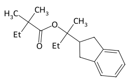 CCC(C)(C)C(=O)OC(C)(CC)C1Cc2ccccc2C1